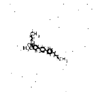 CCCCCc1ccc(C2CCC(C3CCC(C)(C(=O)OCCCC)CC3)CC2)cc1